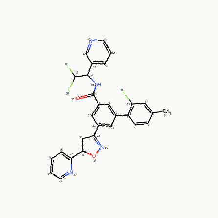 Cc1ccc(-c2cc(C(=O)NC(c3cccnc3)C(F)F)cc(C3=NOC(c4ccccn4)C3)c2)c(F)c1